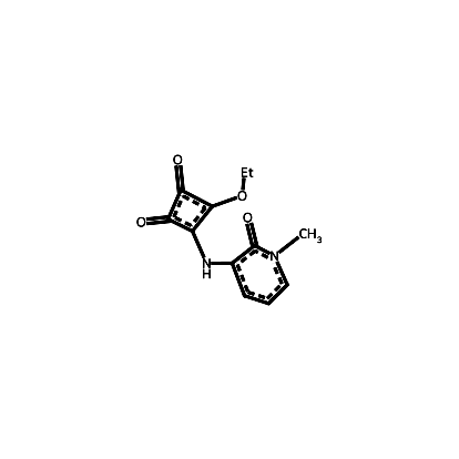 CCOc1c(Nc2cccn(C)c2=O)c(=O)c1=O